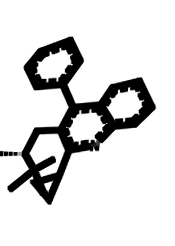 C[C@H](Cc1c(C2CC2)nc2ccccc2c1-c1ccccc1)C(C)(C)C